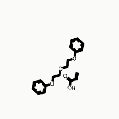 C=CC(=O)O.c1ccc(OCCOCCOc2ccccc2)cc1